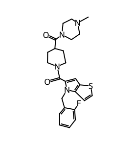 CN1CCN(C(=O)C2CCN(C(=O)c3cc4sccc4n3Cc3ccccc3F)CC2)CC1